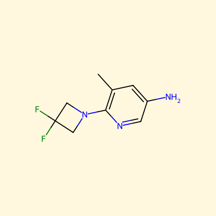 Cc1cc(N)cnc1N1CC(F)(F)C1